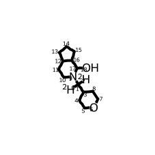 [2H]C([2H])(C1CCOCC1)N1CCC2CCCC2C1O